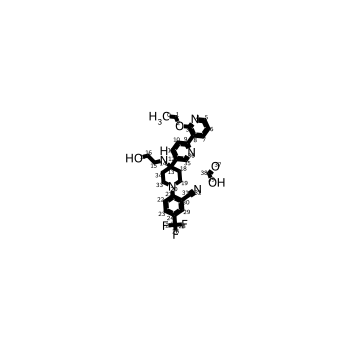 CCOc1ncccc1-c1ccc(C2(NCCO)CCN(c3ccc(C(F)(F)F)cc3C#N)CC2)cn1.O=CO